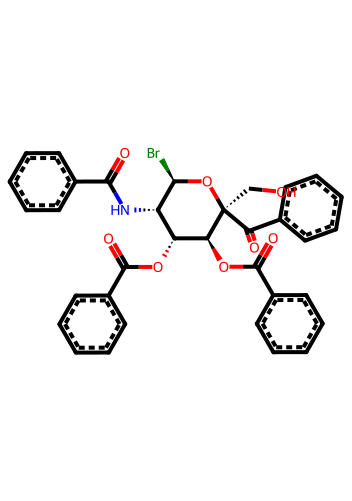 O=C(N[C@H]1[C@@H](OC(=O)c2ccccc2)[C@H](OC(=O)c2ccccc2)[C@](CO)(C(=O)c2ccccc2)O[C@@H]1Br)c1ccccc1